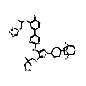 COCC(C)(C)COc1nn(C2CCC(N3[C@@H]4CC[C@H]3COC4)CC2)cc1Nc1ncc(-c2ccc(Cl)c(OC(C)Cn3cnnn3)c2)cn1